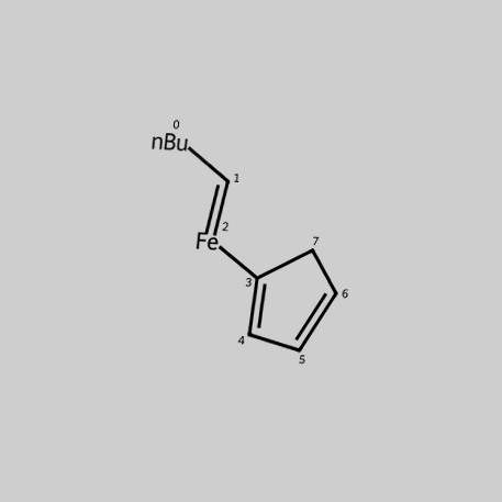 CCCC[CH]=[Fe][C]1=CC=CC1